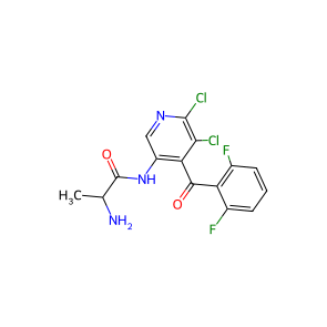 CC(N)C(=O)Nc1cnc(Cl)c(Cl)c1C(=O)c1c(F)cccc1F